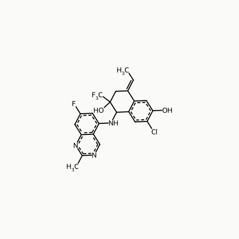 CC=C1CC(O)(C(F)(F)F)C(Nc2cc(F)cc3nc(C)ncc23)c2cc(Cl)c(O)cc21